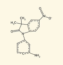 CC1(C)C(=O)N(c2cccc(N)c2)c2ccc([N+](=O)[O-])cc21